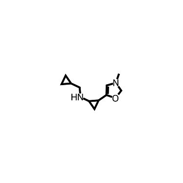 CN1C=C(C2CC2NCC2CC2)OC1